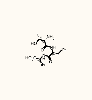 CC(C)C[C@H](NC(=O)[C@@H](N)[C@@H](C)O)C(=O)N[C@H](C(=O)O)C(C)C